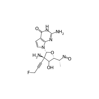 C[C@@H](N=O)[C@H]1O[C@@H](n2ccc3c(=O)[nH]c(N)nc32)[C@@](N)(C#CCF)C1O